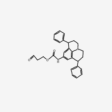 O=CCCOC(=O)Nc1cc2c3c(c1)C(c1ccccc1)CCN3CCC2c1ccccc1